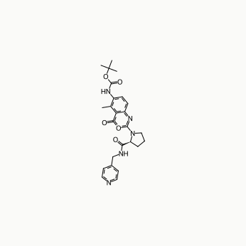 Cc1c(NC(=O)OC(C)(C)C)ccc2nc(N3CCC[C@H]3C(=O)NCc3ccncc3)oc(=O)c12